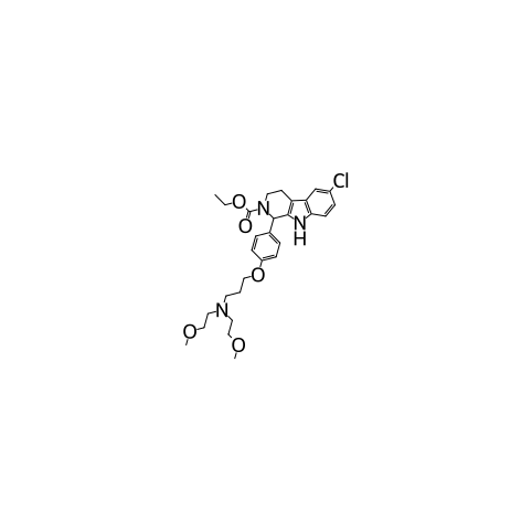 CCOC(=O)N1CCc2c([nH]c3ccc(Cl)cc23)C1c1ccc(OCCCN(CCOC)CCOC)cc1